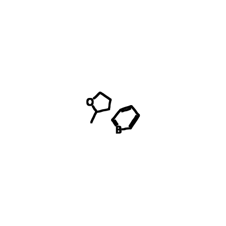 CC1CCCO1.b1ccccc1